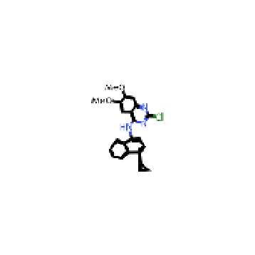 COc1cc2nc(Cl)nc(Nc3ccc(C4CC4)c4ccccc34)c2cc1OC